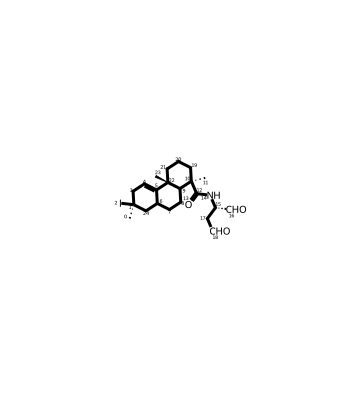 C[C@]1(I)CC=C2C(CCC3[C@](C)(C(=O)N[C@H](C=O)CC=O)CCC[C@@]23C)C1